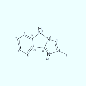 Cc1cn2[nH]c3ccccc3c2n1